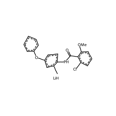 COc1cccc(Cl)c1C(=O)Pc1ccc(Oc2ccccc2)cc1C.[LiH]